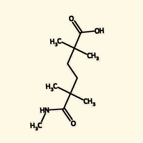 CNC(=O)C(C)(C)CCC(C)(C)C(=O)O